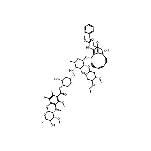 CCN[C@H]1CO[C@@H](O[C@H]2[C@H](O[C@H]3C#CC=CC#C[C@]4(O)CC(=O)C(NC(=O)OC)=C3/C4=C\CSSc3ccccn3)O[C@H](C)[C@@H](NO[C@H]3C[C@H](O)[C@H](SC(=O)c4c(C)c(I)c(O[C@@H]5O[C@@H](C)[C@H](O)[C@@H](OC)[C@H]5O)c(OC)c4OC)[C@@H](C)O3)[C@@H]2O)C[C@@H]1OC